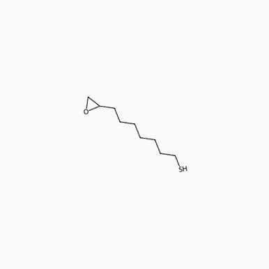 SCCCCCCCC1CO1